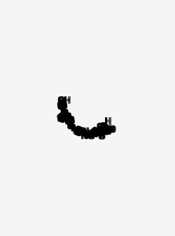 O=C1CCC(N2C(=O)c3ccc(Oc4cnc(N5CCN(CCOc6ccc(/C=C(/CCc7ccc(O)cc7)c7ccccc7)cc6)CC5)nc4)cc3C2=O)C(=O)N1